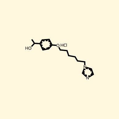 CC(O)c1ccc(OCCCCCCn2ccnc2)cc1.Cl